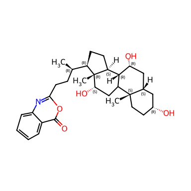 C[C@H](CCc1nc2ccccc2c(=O)o1)[C@H]1CC[C@H]2[C@H]3C(C[C@H](O)[C@]12C)[C@@]1(C)CC[C@@H](O)C[C@H]1C[C@H]3O